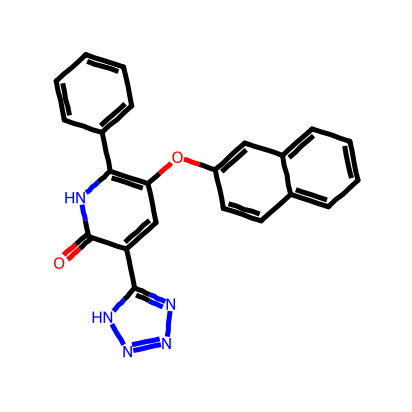 O=c1[nH]c(-c2ccccc2)c(Oc2ccc3ccccc3c2)cc1-c1nnn[nH]1